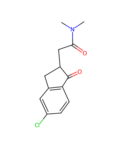 CN(C)C(=O)CC1Cc2cc(Cl)ccc2C1=O